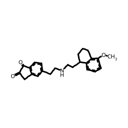 COc1cccc2c1CCCC2CCNCCc1ccc2c(c1)CC(=O)C2=O